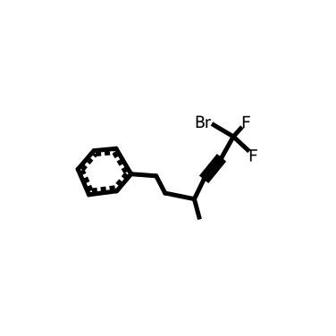 CC(C#CC(F)(F)Br)CCc1ccccc1